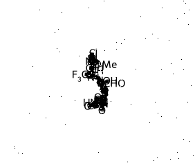 COC(C)c1c(NC(=O)Nc2cc(C(F)(F)F)cnc2OCCN2CCC(N3CCN(Cc4ccc5c(c4)N(C)C(=C=O)N5C4CCC(=C=O)NC4=C=O)CC3)CC2)cnc2cc(Cl)nn12.O=CO